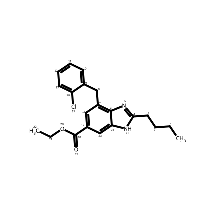 CCCCc1nc2c(Cc3ccccc3Cl)cc(C(=O)OCC)cc2[nH]1